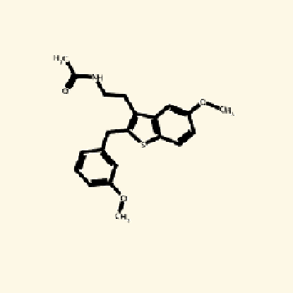 COc1cccc(Cc2sc3ccc(OC)cc3c2CCNC(C)=O)c1